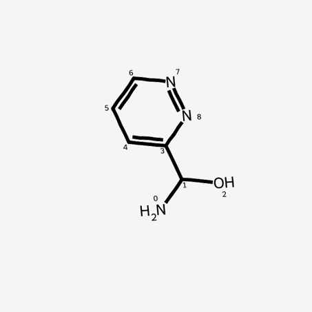 NC(O)c1cccnn1